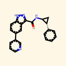 O=C(NC1C[C@@H]1c1ccccc1)c1n[nH]c2ccc(-c3cccnc3)cc12